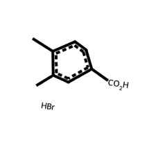 Br.Cc1ccc(C(=O)O)cc1C